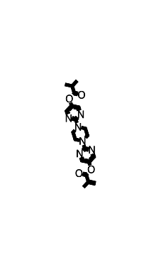 C=C(C)C(=O)Oc1cnc(N2CCN(c3ncc(OC(=O)C(C)C)cn3)CC2)nc1